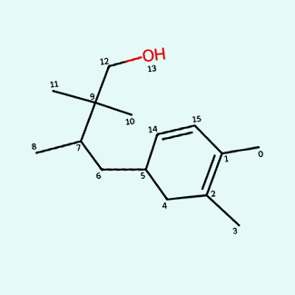 CC1=C(C)CC(CC(C)C(C)(C)CO)C=C1